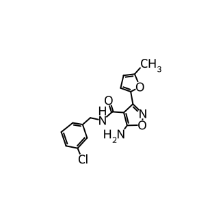 Cc1ccc(-c2noc(N)c2C(=O)NCc2cccc(Cl)c2)o1